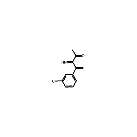 C=C(C(=N)C(C)=O)c1cccc(Cl)c1